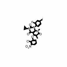 Cc1c(Oc2cccc([N+](=O)[O-])c2Cl)c2c(=O)n(C3CC3)c(=O)n(-c3ccc(I)cc3F)c2n(C)c1=O